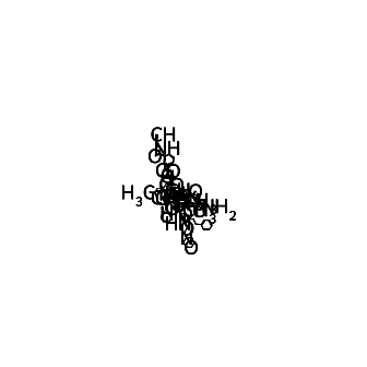 C#CCNC(=O)c1cccc(S(=O)(=O)OCC(C)(OC(=O)CCC(=O)NCC(N)=O)O[C@@H](CC(C)C)NO[C@@H](Cc2ccccc2)NO[C@@H](CC(C)C)NO[C@@H](CCc2ccccc2)NOCN2CCOCC2)c1